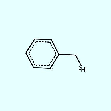 [2H]Cc1[c]cccc1